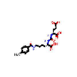 Cc1ccc(C(=O)NCCCC[C@H](NC(=O)N[C@@H](CCC(=O)O)C(=O)O)C(=O)O)cc1